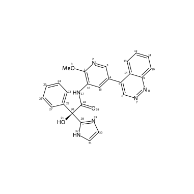 COc1ncc(-c2cnnc3ccccc23)cc1NC(=O)[C@@](O)(c1ccccc1)c1ncc[nH]1